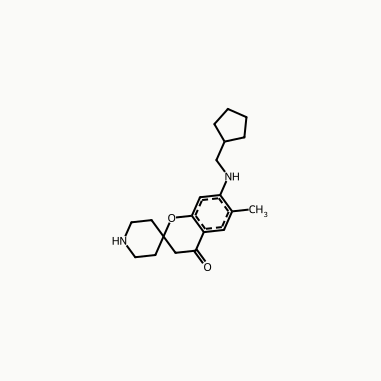 Cc1cc2c(cc1NCC1CCCC1)OC1(CCNCC1)CC2=O